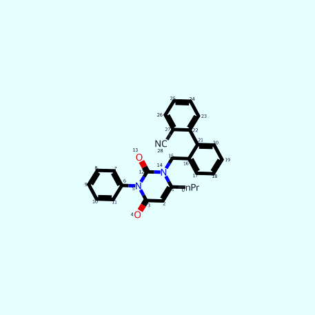 CCCc1cc(=O)n(-c2ccccc2)c(=O)n1Cc1ccccc1-c1ccccc1C#N